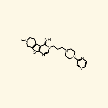 CN1CCc2c(sc3ncn(CCCN4CCN(c5cnccn5)CC4)c(=N)c23)C1